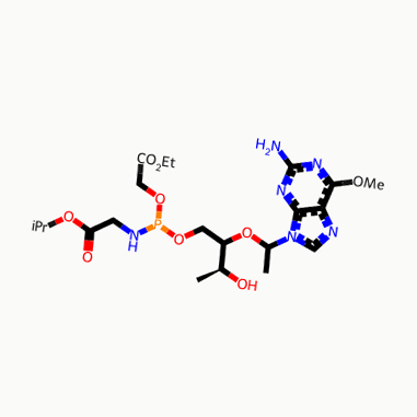 CCOC(=O)COP(NCC(=O)OC(C)C)OCC(OC(C)n1cnc2c(OC)nc(N)nc21)[C@H](C)O